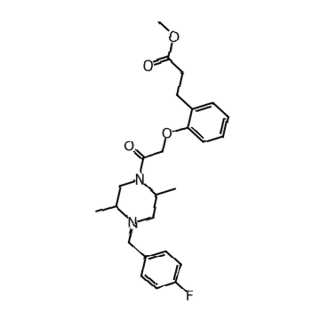 COC(=O)CCc1ccccc1OCC(=O)N1CC(C)N(Cc2ccc(F)cc2)CC1C